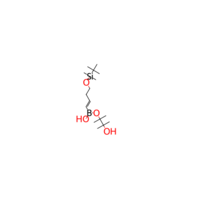 CC(C)(O)C(C)(C)OB(O)C=CCCO[Si](C)(C)C(C)(C)C